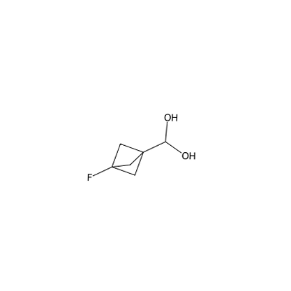 OC(O)C12CC(F)(C1)C2